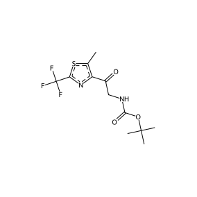 Cc1sc(C(F)(F)F)nc1C(=O)CNC(=O)OC(C)(C)C